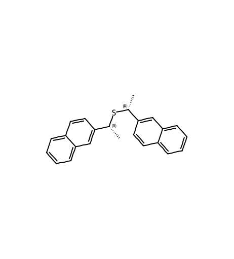 C[C@@H](S[C@H](C)c1ccc2ccccc2c1)c1ccc2ccccc2c1